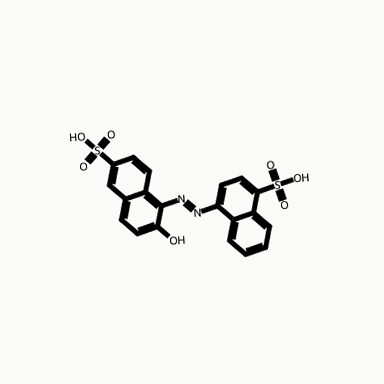 O=S(=O)(O)c1ccc2c(/N=N/c3ccc(S(=O)(=O)O)c4ccccc34)c(O)ccc2c1